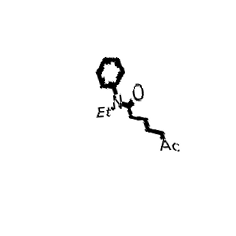 CCN(C(=O)CCCCC(C)=O)c1ccccc1